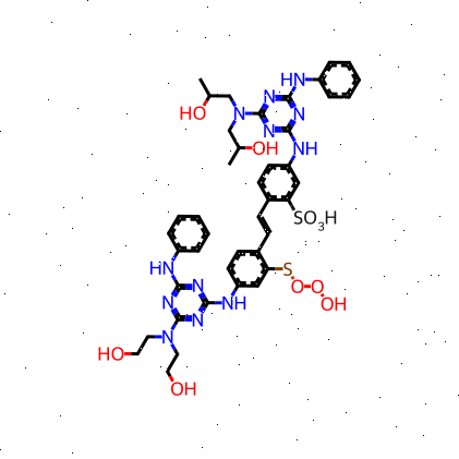 CC(O)CN(CC(C)O)c1nc(Nc2ccccc2)nc(Nc2ccc(/C=C/c3ccc(Nc4nc(Nc5ccccc5)nc(N(CCO)CCO)n4)cc3SOOO)c(S(=O)(=O)O)c2)n1